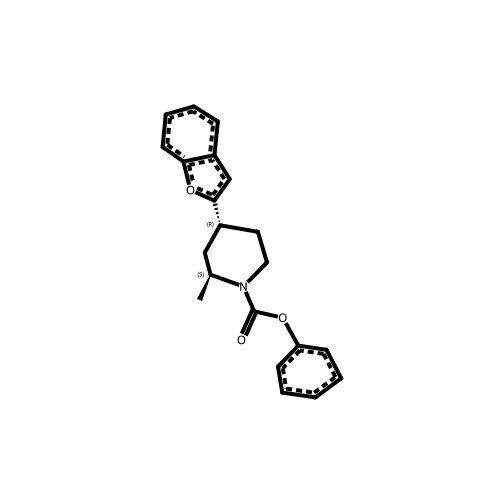 C[C@H]1C[C@H](c2cc3ccccc3o2)CCN1C(=O)Oc1ccccc1